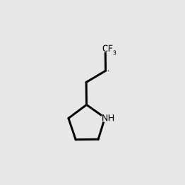 FC(F)(F)[CH]CC1CCCN1